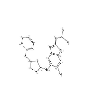 CCC(CC)Sc1nc2cc(NC3CCN(Cc4ccccc4)C3)c(Cl)cc2[nH]1